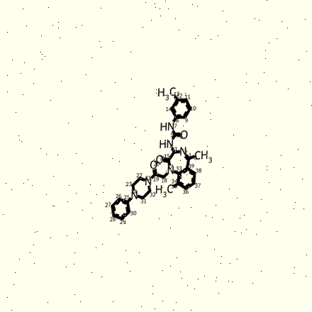 CC1=NC(NC(=O)Nc2cccc(C)c2)C(=O)N(CC(=O)N2CCN(c3ccccc3)CC2)c2c(C)cccc21